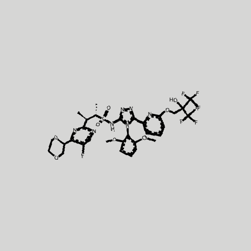 COc1cccc(OC)c1-n1c(NS(=O)(=O)[C@@H](C)[C@H](C)c2ncc(F)c(C3COCCO3)n2)nnc1-c1cccc(OCC(O)(C(F)(F)F)C(F)(F)F)n1